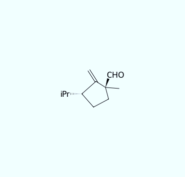 C=C1[C@@H](C(C)C)CC[C@]1(C)C=O